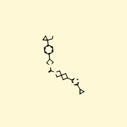 O=C(N1CC(c2ccc(C3(CO)CC3)cc2)C1)N1CC2(CC(c3nnc(C4CC4)[nH]3)C2)C1